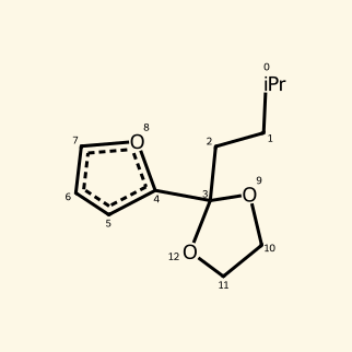 CC(C)CCC1(c2ccco2)OCCO1